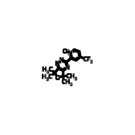 CC1(C)OC(C)(C)c2nc(-c3cc(C(F)(F)F)cc[n+]3[O-])nnc21